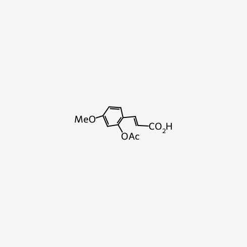 COc1ccc(C=CC(=O)O)c(OC(C)=O)c1